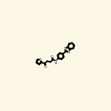 O=C(CCC(=O)c1cccs1)Nc1ccc(-c2nc3ccccc3s2)cc1